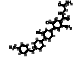 CC[C@H]1CN(c2nc(N)c(C(=O)NCC(N)=O)nc2Cl)CCN1C1CCN(Cc2ccc(C)cc2)CC1